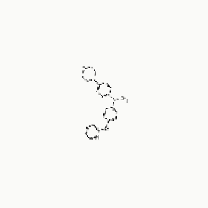 CN(c1ccc(Oc2ccccn2)cc1)c1ccc(C2CCOCC2)cc1